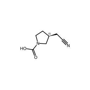 N#CC[C@@H]1CCN(C(=O)O)C1